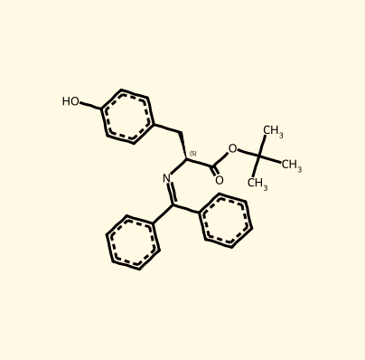 CC(C)(C)OC(=O)[C@H](Cc1ccc(O)cc1)N=C(c1ccccc1)c1ccccc1